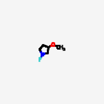 COC1CCN(F)C1